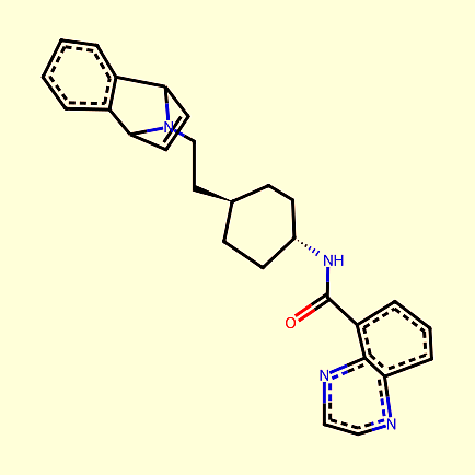 O=C(N[C@H]1CC[C@H](CCN2C3C=CC2c2ccccc23)CC1)c1cccc2nccnc12